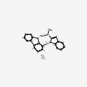 CCCCP(CCCC)C1=Cc2ccccc2[CH]1[Zr+2][c]1cccc2c1Cc1ccccc1-2.[Cl-].[Cl-]